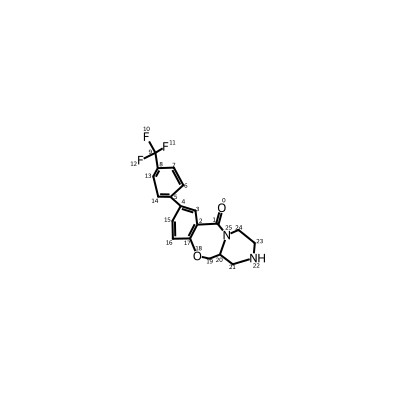 O=C1c2cc(-c3ccc(C(F)(F)F)cc3)ccc2OCC2CNCCN12